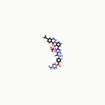 C=C(Nc1ccc(C(=O)N2CCN(CC)CC2)cc1)C(=O)N(C)/C=C(\N)c1cccc(N2CCc3cc(C4CC4)ccc3C2=O)c1COC(C)=O